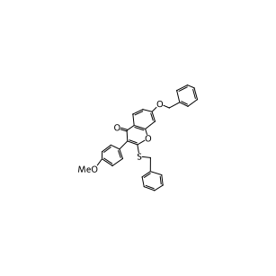 COc1ccc(-c2c(SCc3ccccc3)oc3cc(OCc4ccccc4)ccc3c2=O)cc1